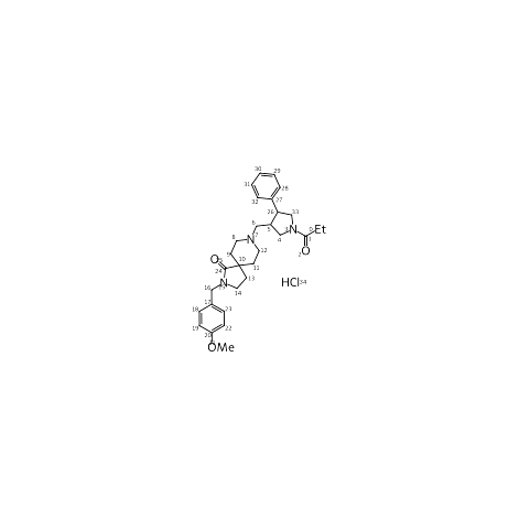 CCC(=O)N1CC(CN2CCC3(CC2)CCN(Cc2ccc(OC)cc2)C3=O)C(c2ccccc2)C1.Cl